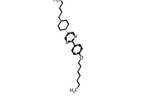 CCCCCCCOc1ccc(-c2ncc([C@H]3CC[C@H](CCCCC)CC3)cn2)cc1